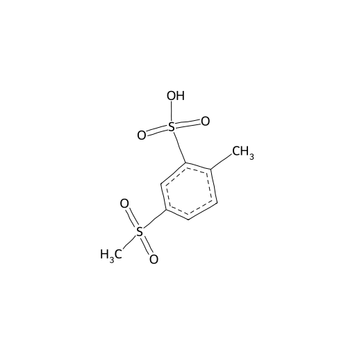 Cc1ccc(S(C)(=O)=O)cc1S(=O)(=O)O